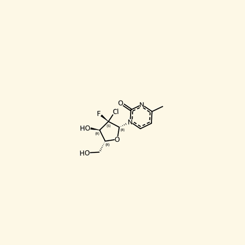 Cc1ccn([C@@H]2O[C@H](CO)[C@@H](O)[C@]2(F)Cl)c(=O)n1